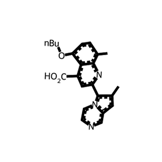 CCCCOc1ccc(C)c2nc(-c3c(C)cc4cnccn34)cc(C(=O)O)c12